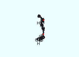 O=C1CCC(N2C(=O)c3cccc(OCCCCCN4CCN(c5ccc(Nc6ncc7ccc(/C=C/c8ccccc8)n7n6)cn5)CC4)c3C2=O)C(=O)N1